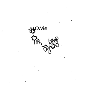 COc1cc(-c2cccc(CNCCC3CN(c4ccc5c(n4)NC(=O)CO5)C(=O)O3)c2)cnn1